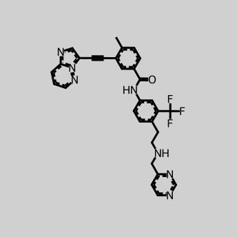 Cc1ccc(C(=O)Nc2ccc(CCNCc3ccncn3)c(C(F)(F)F)c2)cc1C#Cc1cnc2cccnn12